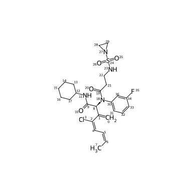 C=C(/C(Cl)=C\C=C/C)[C@@H](C(=O)NC1CCCCC1)N(C(=O)CCNS(=O)(=O)N1CC1)c1cccc(F)c1